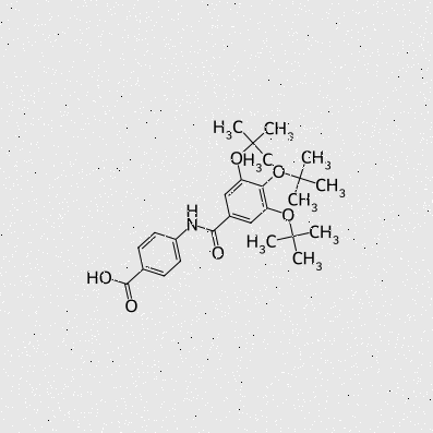 CC(C)(C)Oc1cc(C(=O)Nc2ccc(C(=O)O)cc2)cc(OC(C)(C)C)c1OC(C)(C)C